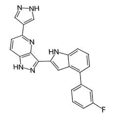 Fc1cccc(-c2cccc3[nH]c(-c4n[nH]c5ccc(-c6cn[nH]c6)nc45)cc23)c1